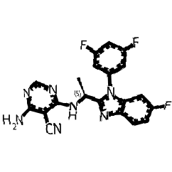 C[C@H](Nc1ncnc(N)c1C#N)c1nc2ccc(F)cc2n1-c1cc(F)cc(F)c1